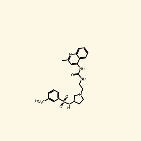 Cc1cc(NC(=O)NCCN2CCC(NS(=O)(=O)c3cccc(C(=O)O)c3)C2)c2ccccc2n1